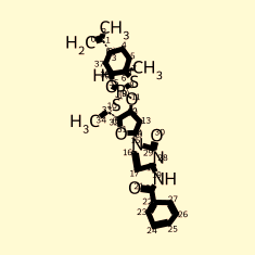 C=C(C)[C@@H]1CC[C@]2(C)S[P@](=S)(O[C@H]3C[C@H](n4ccc(NC(=O)c5ccccc5)nc4=O)O[C@@H]3CC)O[C@H]2C1